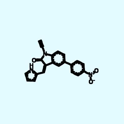 C#CN1C(=O)/C(=C\c2ccc[nH]2)c2cc(-c3ccc([N+](=O)[O-])cc3)ccc21